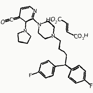 O=C(O)C=CC(=O)O.O=C=C1C=CN=C(N2CCN(CCCC(c3ccc(F)cc3)c3ccc(F)cc3)CC2)C1N1CCCC1